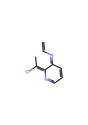 C=C/N=C1/C=CC=N/C1=C(/C)Cl